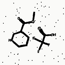 COC(=O)C1CCCNC1.O=C(O)C(F)(F)F